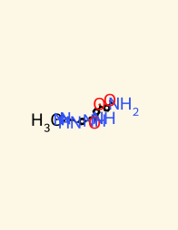 CN1CCN(CCCNc2ccc(NC=C3C(=O)Nc4cc(C(=O)c5cccc(C(N)=O)c5)ccc43)cc2)CC1